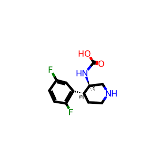 O=C(O)N[C@H]1CNCC[C@@H]1c1cc(F)ccc1F